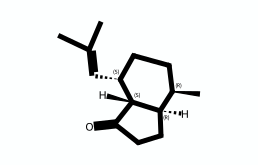 CC(C)=C[C@@H]1CC[C@@H](C)[C@H]2CCC(=O)[C@@H]21